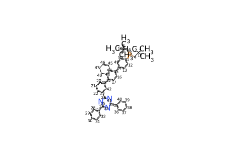 CC(C)(C)CP(CC(C)(C)C)c1ccc(-c2ccc(-c3cccc(-c4nc(-c5ccccc5)nc(-c5ccccc5)n4)c3)c3c2C=CCC3)cc1